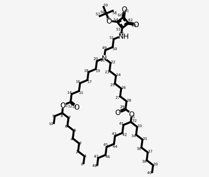 CCCCCCCCC(CC)OC(=O)CCCCCCCN(CCCCCCCC(=O)OC(CCCCCCCC)CCCCCCCC)CCCNc1c(OC(C)(C)C)c(=O)c1=O